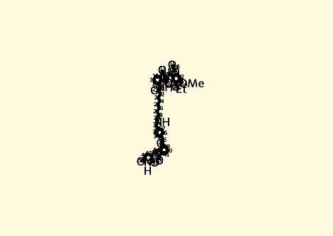 CCOc1cc([C@@H](CS(C)(=O)=O)N2C(=O)c3cccc(NC(=O)CCCCCCCCNCc4ccc(COc5cccc6c5CN(C5CCC(=O)NC5=O)C6=O)cc4)c3C2=O)ccc1OC